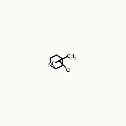 [CH2]C12CCN(CC1)CC2Cl